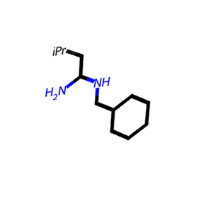 CC(C)CC(N)NCC1CCCCC1